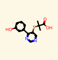 CC(C)(Sc1cncnc1-c1cccc(O)c1)C(=O)O